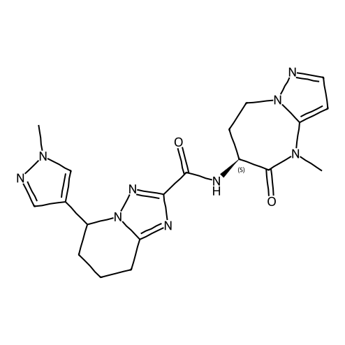 CN1C(=O)[C@@H](NC(=O)c2nc3n(n2)C(c2cnn(C)c2)CCC3)CCn2nccc21